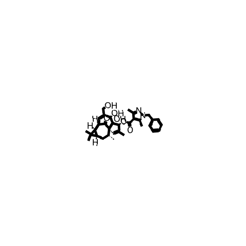 CC1=C[C@]23C(=O)[C@@H](C=C(CO)[C@@H](O)[C@]2(O)[C@H]1OC(=O)c1c(C)nn(Cc2ccccc2)c1C)[C@H]1[C@@H](C[C@H]3C)C1(C)C